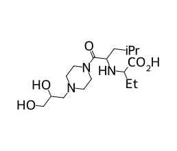 CCC(NC(CC(C)C)C(=O)N1CCN(CC(O)CO)CC1)C(=O)O